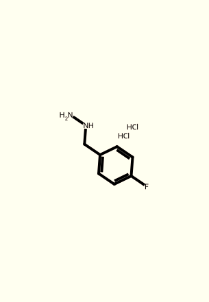 Cl.Cl.NNCc1ccc(F)cc1